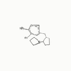 CCCc1ccc(CC2CCCC2N2CCC2)cc1CC